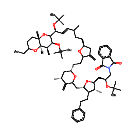 C=C1C[C@H](CCC(C)/C=C/[C@H](O[Si](C)(C)C(C)(C)C)C2O[C@H]3CCC(CC(C)=O)O[C@@H]3[C@H](C)[C@@H]2O[Si](C)(C)C(C)(C)C)OC1CC[C@H]1C[C@@H](C)C(=C)C(C[C@@H]2OC(C[C@@H](CN3C(=O)c4ccccc4C3=O)O[Si](C)(C)C(C)(C)C)[C@H](C)C2CCc2ccccc2)O1